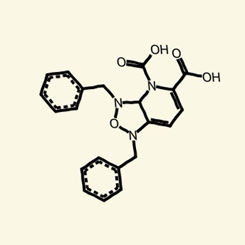 O=C(O)C1=CC=C2C(N(Cc3ccccc3)ON2Cc2ccccc2)N1C(=O)O